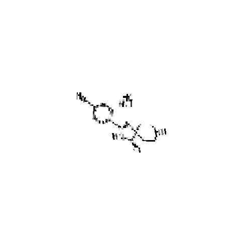 Cl.Cl.N#Cc1ccc(C2=NC3(CCNCC3)C(=O)N2)cc1